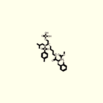 COC(=O)N[C@@H](Cc1ccccc1F)C(=O)NCCCC[C@@H](COP(=O)(O)O)N(CC(C)C)S(=O)(=O)c1ccc(C)cc1